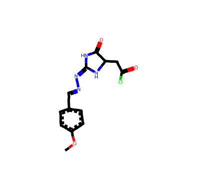 COc1ccc(C=NN=C2NC(=O)C(CC(=O)Cl)N2)cc1